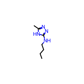 CCCCNc1nnc(C)[nH]1